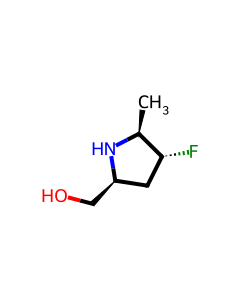 C[C@@H]1N[C@H](CO)C[C@H]1F